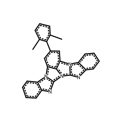 Cc1cccc(C)c1-c1cc2c3c(c1)n1c4ccccc4nc1n3c1nc3ccccc3n21